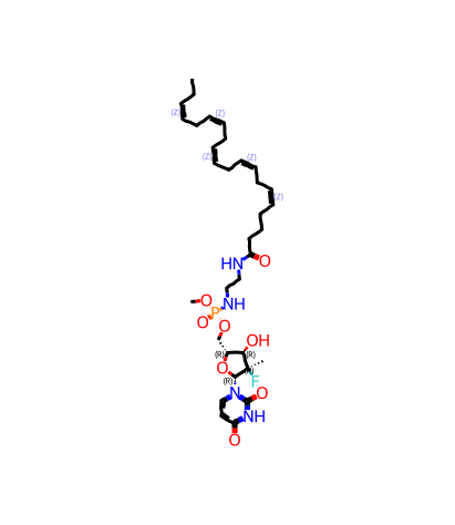 CC/C=C\C/C=C\C/C=C\C/C=C\C/C=C\CCCC(=O)NCCNP(=O)(OC)OC[C@H]1O[C@@H](n2ccc(=O)[nH]c2=O)[C@](C)(F)[C@@H]1O